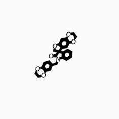 O=C1N(Cc2ccc3c(c2)OCCO3)c2ccccc2C12COc1cc3c(cc12)OCCO3